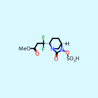 COC(=O)CC(F)(F)[C@@H]1CC[C@@H]2CN1C(=O)N2OS(=O)(=O)O